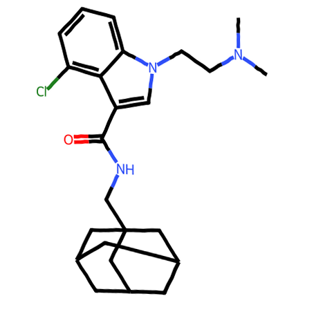 CN(C)CCn1cc(C(=O)NCC23CC4CC(CC(C4)C2)C3)c2c(Cl)cccc21